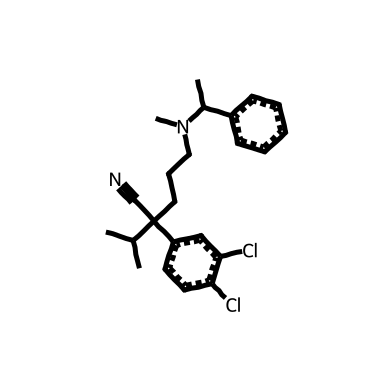 CC(c1ccccc1)N(C)CCCC(C#N)(c1ccc(Cl)c(Cl)c1)C(C)C